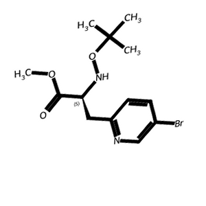 COC(=O)[C@H](Cc1ccc(Br)cn1)NOC(C)(C)C